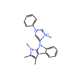 Cc1c(C)n(C)c2c1c1ccccc1n2-c1cn(-c2ccccc2)c[n+]1C